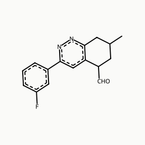 CC1Cc2nnc(-c3cccc(F)c3)cc2C(C=O)C1